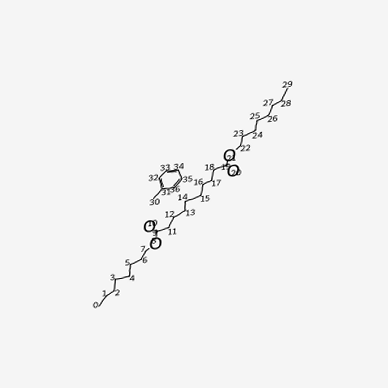 CCCCCCCCOC(=O)CCCCCCCCC(=O)OCCCCCCCC.Cc1ccccc1